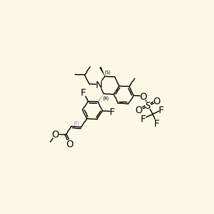 COC(=O)/C=C/c1cc(F)c([C@H]2c3ccc(OS(=O)(=O)C(F)(F)F)c(C)c3C[C@H](C)N2CC(C)C)c(F)c1